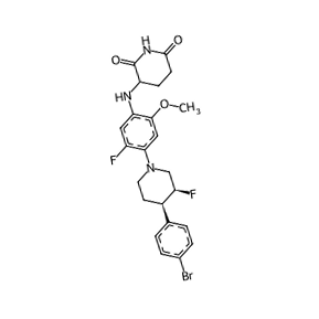 COc1cc(N2CC[C@H](c3ccc(Br)cc3)[C@H](F)C2)c(F)cc1NC1CCC(=O)NC1=O